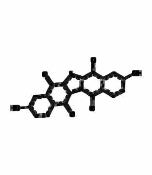 O=c1c2cc(O)ccc2c(=O)c2c1sc1c(=O)c3cc(O)ccc3c(=O)c12